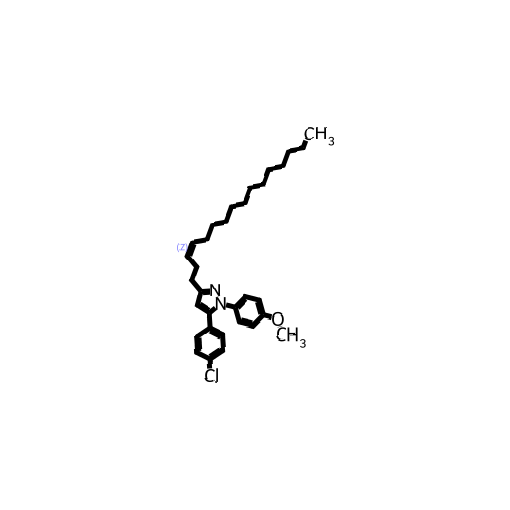 CCCCCCCCCCCC/C=C\CCc1cc(-c2ccc(Cl)cc2)n(-c2ccc(OC)cc2)n1